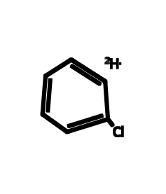 Clc1ccccc1.[2H]